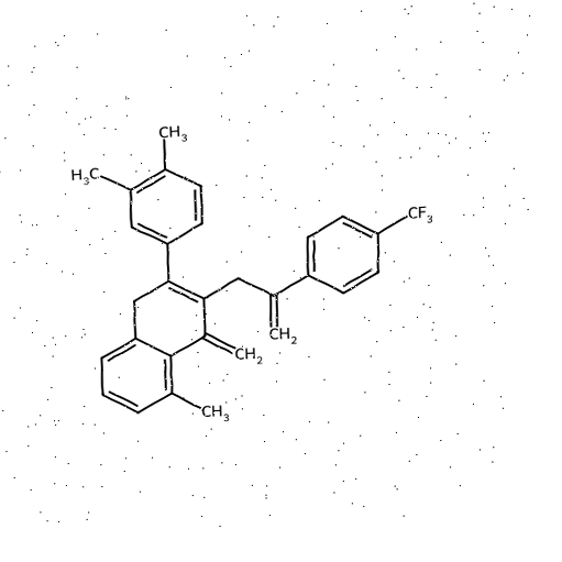 C=C(CC1=C(c2ccc(C)c(C)c2)Cc2cccc(C)c2C1=C)c1ccc(C(F)(F)F)cc1